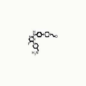 NCC1CCN(c2nc(Nc3ccc(N4CCN(CC=O)CC4)cc3)ncc2F)CC1